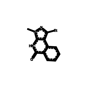 CCc1nn(C)c2[nH]c(=O)c3ccccc3c12